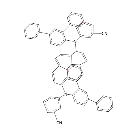 N#Cc1cccc(N(C2=C3C=CC4=C5C(=CC=C(C=C2)C35)C(N(c2cccc(C#N)c2)c2ccc(-c3ccccc3)cc2-c2ccccc2)C=C4)c2ccc(-c3ccccc3)cc2-c2ccccc2)c1